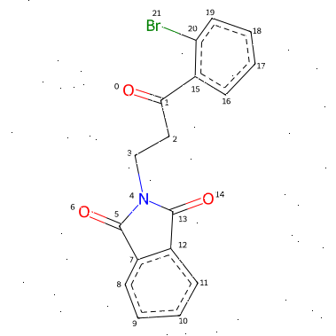 O=C(CCN1C(=O)c2ccccc2C1=O)c1ccccc1Br